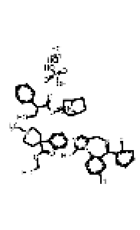 CCOC(=O)C1(c2ccccc2)CCN(C)CC1.CN1C2CCC1CC(OC(=O)C(CO)c1ccccc1)C2.Cc1ncc2n1-c1ccc(Cl)cc1C(c1ccccc1F)=NC2.Cl.Cl.Cl.O=S(=O)(O)O